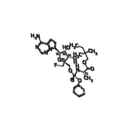 CCC(C)(C)COC(=O)[C@H](C)NP(=O)(OC[C@@]1(CF)O[C@@H](c2ccc3c(N)ncnn23)[C@H](O)[C@@H]1O)Oc1ccccc1